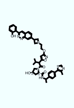 Cc1ncsc1-c1ccc(C(C)NC(=O)[C@@H]2C[C@@H](O)CN2C(=O)C(c2cc(OCCN3CC(c4ccc5cc(-c6ccccc6O)nnc5c4)C3)no2)C(C)C)cc1